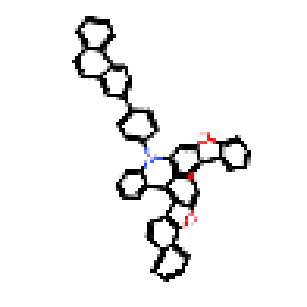 c1ccc(N(c2ccc(-c3ccc4c(ccc5ccccc54)c3)cc2)c2ccc3c(c2)oc2ccccc23)c(-c2cccc3oc4c5ccccc5ccc4c23)c1